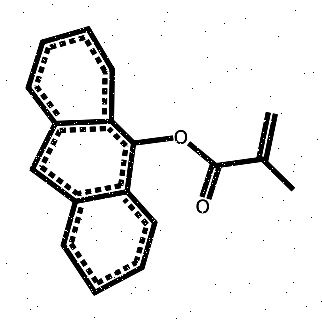 C=C(C)C(=O)Oc1c2ccccc2cc2ccccc12